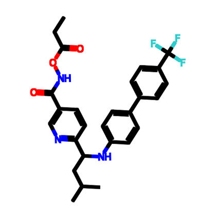 CCC(=O)ONC(=O)c1ccc(C(CC(C)C)Nc2ccc(-c3ccc(C(F)(F)F)cc3)cc2)nc1